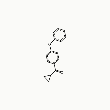 O=C(c1ccc(Oc2ccccc2)cc1)C1CC1